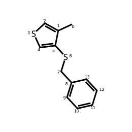 Cc1cscc1SCc1ccccc1